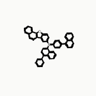 c1ccc(-c2ccc(N(c3ccc(-c4cccc5ccccc45)cc3)c3ccc4oc5c6ccccc6ccc5c4c3)c3ccccc23)cc1